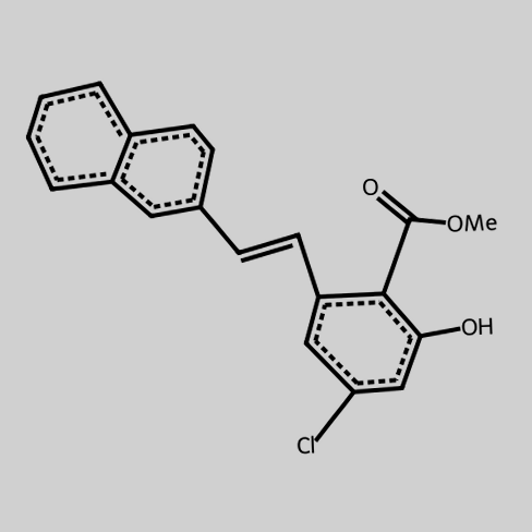 COC(=O)c1c(O)cc(Cl)cc1/C=C/c1ccc2ccccc2c1